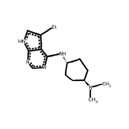 CCc1c[nH]c2ncnc(N[C@H]3CC[C@H](N(C)C)CC3)c12